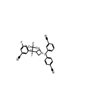 CC(C)(F)[C@@](I)(c1cc(F)cc(C#N)c1)C1CN([C@@H](c2ccc(C#N)cc2)c2cccc(C#N)c2)C1